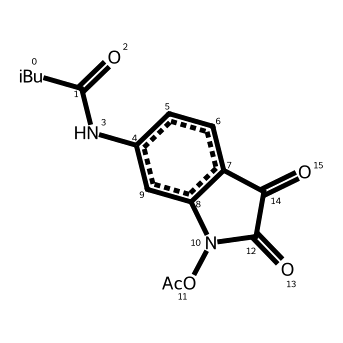 CCC(C)C(=O)Nc1ccc2c(c1)N(OC(C)=O)C(=O)C2=O